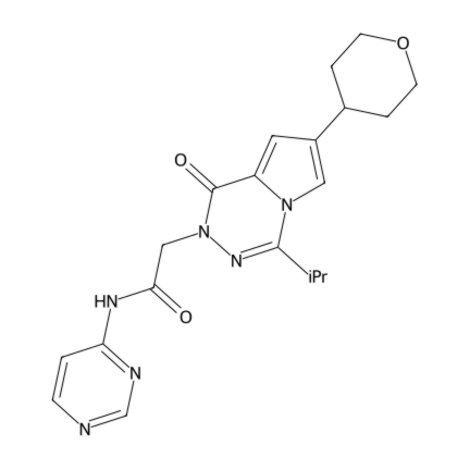 CC(C)c1nn(CC(=O)Nc2ccncn2)c(=O)c2cc(C3CCOCC3)cn12